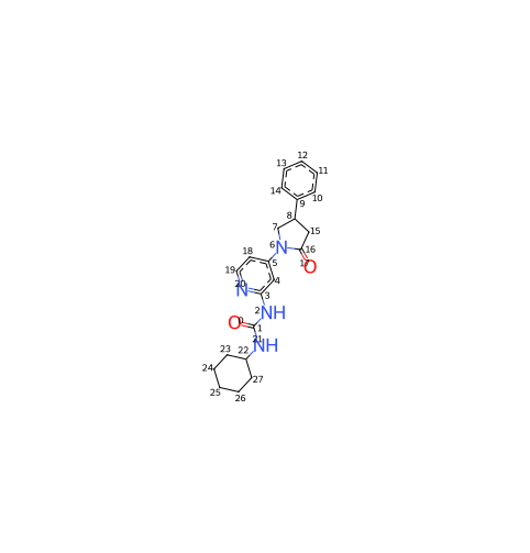 O=C(Nc1cc(N2CC(c3ccccc3)CC2=O)ccn1)NC1CCCCC1